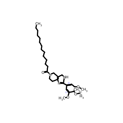 C=C(OC)/C(=C\C(=C/COC)C1=NC2=C(CN1)CN(C(=O)CCCCCCCCCCCCC)CC2)OC